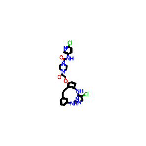 O=C(COc1ccc2cc1CCc1cccc(c1)Nc1ncc(Cl)c(n1)N2)N1CCN(C(=O)Nc2ccc(Cl)nc2)CC1